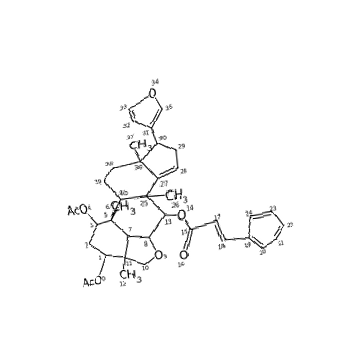 CC(=O)OC1CC(OC(C)=O)C2(C)C3C(OCC13C)C(OC(=O)/C=C/c1ccccc1)C1(C)C3=CCC(c4ccoc4)C3(C)CCC12